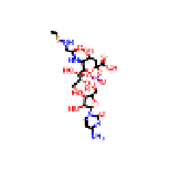 CCSNCC(=O)NC1C(O)CC(OP(=O)(O)OCC2OC(n3ccc(N)nc3=O)C(O)C2O)(C(=O)O)OC1[C@H](O)[C@H](O)CO